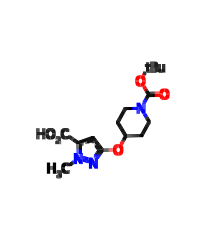 Cn1nc(OC2CCN(C(=O)OC(C)(C)C)CC2)cc1C(=O)O